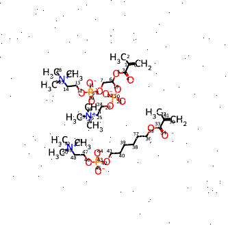 C=C(C)C(=O)OC(COP(=O)([O-])OCC[N+](C)(C)C)OP(=O)([O-])OCC[N+](C)(C)C.C=C(C)C(=O)OCCCCCCOP(=O)([O-])OCC[N+](C)(C)C